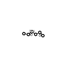 c1ccc(-c2ccc3oc4c(-c5cccc(-c6cccc7c6oc6ccccc67)c5)ncnc4c3c2)cc1